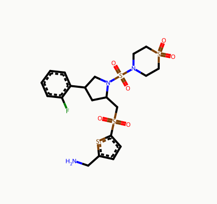 NCc1ccc(S(=O)(=O)CC2CC(c3ccccc3F)CN2S(=O)(=O)N2CCS(=O)(=O)CC2)s1